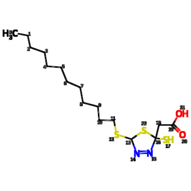 CCCCCCCCCCCCSC1N=NC(S)(CC(=O)O)S1